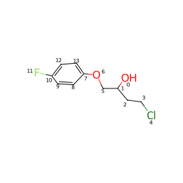 OC(CCCl)COc1ccc(F)cc1